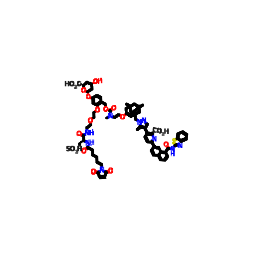 Cc1c(-c2ccc(-c3ccc4cccc(C(=O)Nc5nc6ccccc6s5)c4c3)nc2C(=O)O)cnn1CC12CC3(C)CC(C)(C1)CC(OCCN(C)C(=O)OCc1ccc(O[C@H]4C[C@@H](O)C[C@@H](C(=O)O)O4)cc1OCCOCCNC(=O)[C@H](CS(=O)(=O)O)NC(=O)CCCCCN1C(=O)C=CC1=O)(C3)C2